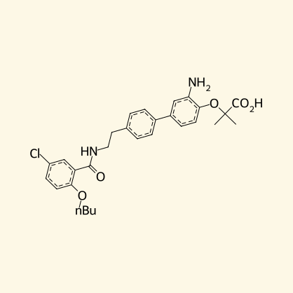 CCCCOc1ccc(Cl)cc1C(=O)NCCc1ccc(-c2ccc(OC(C)(C)C(=O)O)c(N)c2)cc1